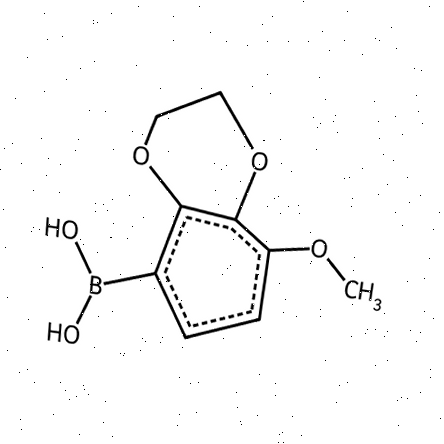 COc1ccc(B(O)O)c2c1OCCO2